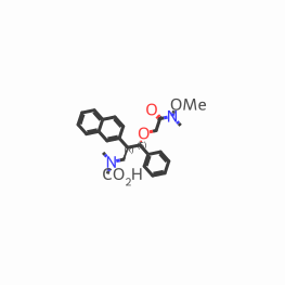 CON(C)C(=O)CO[C@H](c1ccccc1)[C@@H](CN(C)C(=O)O)c1ccc2ccccc2c1